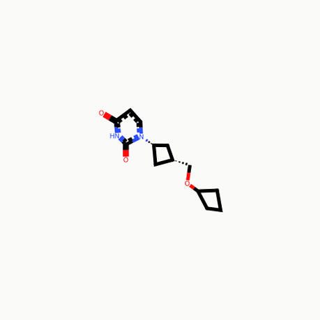 O=c1ccn([C@H]2C[C@@H](COC3CCC3)C2)c(=O)[nH]1